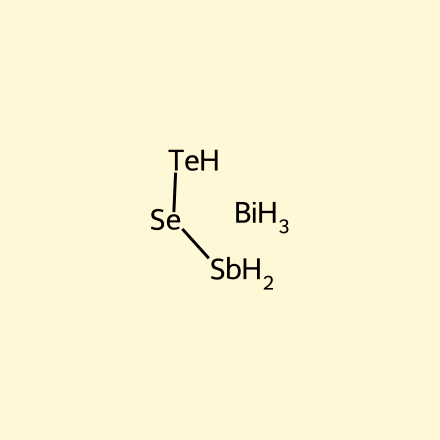 [BiH3].[SbH2][Se][TeH]